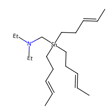 CC=CC[CH2][Sn]([CH2]CC=CC)([CH2]CC=CC)[CH2]N(CC)CC